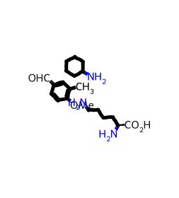 COc1ccc(C=O)cc1C.NC1CCCCC1.NCCCC[C@H](N)C(=O)O